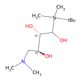 CN(C)C[C@H](O)[C@H](O)C(O)[Si](C)(C)C(C)(C)C